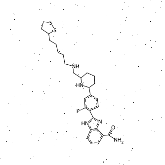 NC(=O)c1cccc2[nH]c(-c3ccc(C4CCCC(CNCCCCCC5CCSS5)N4)cc3F)nc12